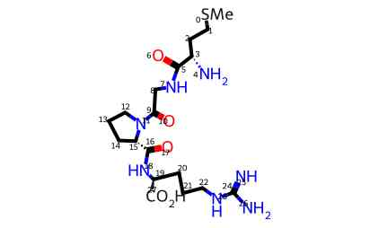 CSCC[C@H](N)C(=O)NCC(=O)N1CCC[C@H]1C(=O)N[C@@H](CCCNC(=N)N)C(=O)O